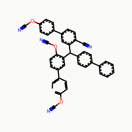 C=C(/C=C\C(=C/C)c1ccc(OC#N)c(C(c2ccc(-c3ccccc3)cc2)c2cc(-c3ccc(OC#N)cc3)ccc2C#N)c1)OC#N